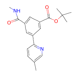 CNC(=O)c1cc(C(=O)OC(C)(C)C)cc(-c2ccc(C)cn2)c1